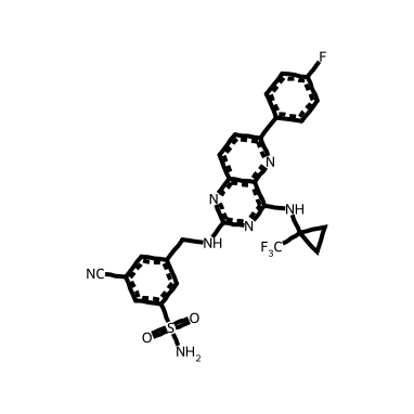 N#Cc1cc(CNc2nc(NC3(C(F)(F)F)CC3)c3nc(-c4ccc(F)cc4)ccc3n2)cc(S(N)(=O)=O)c1